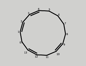 [CH]1C=CC=CCCCCC=CCC=C1